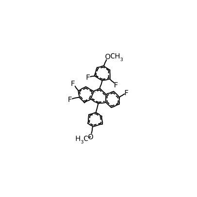 COc1ccc(-c2c3ccc(F)cc3c(-c3c(F)cc(OC)cc3F)c3cc(F)c(F)cc23)cc1